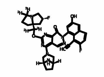 [2H]C1([2H])CC[C@@]2(C([2H])([2H])Oc3nc(N4C[C@H]5CC[C@@H](C4)N5)c4cnn(-c5cc(O)cc6ccc(F)c(C#C)c56)c(=O)c4n3)C[C@@H](F)CN12